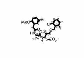 COc1ccc(C(C)=O)cc1CC(=O)N[C@H](C(=O)N[C@@H](CC(=O)O)C(=O)COCc1c(F)cccc1Cl)C(C)C